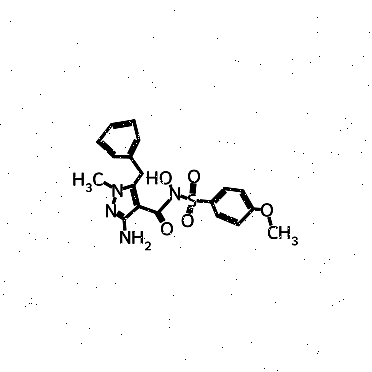 COc1ccc(S(=O)(=O)N(O)C(=O)c2c(N)nn(C)c2Cc2ccccc2)cc1